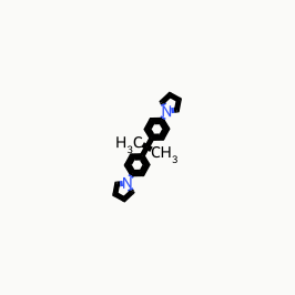 CC(C)(c1ccc(N2CCCC2)cc1)c1ccc(N2CCCC2)cc1